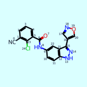 N#Cc1cccc(C(=O)Nc2ccc3[nH]nc(-c4cnoc4)c3c2)c1Cl